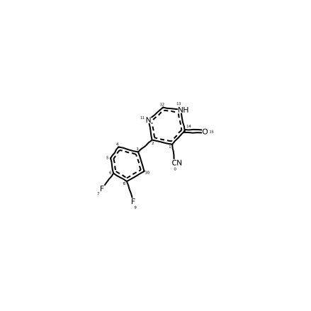 N#Cc1c(-c2ccc(F)c(F)c2)nc[nH]c1=O